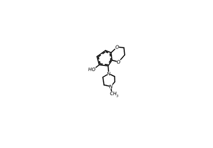 CN1CCN(c2c(O)ccc3c2OCCO3)CC1